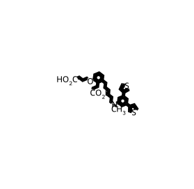 CN(CCCCCCc1cccc(OCCCC(=O)O)c1CCC(=O)O)c1cc(-c2ccsc2)cc(-c2ccsc2)c1